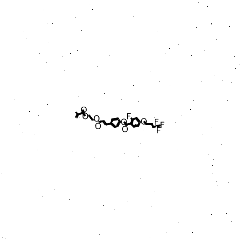 C=C(C)C(=O)OCCOC(=O)/C=C/c1ccc(OC(=O)c2ccc(OCCCC(F)(F)F)cc2F)cc1